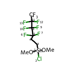 CO[Si](Cl)(CCC(F)(F)C(F)(F)C(F)(F)C(F)(F)F)OC